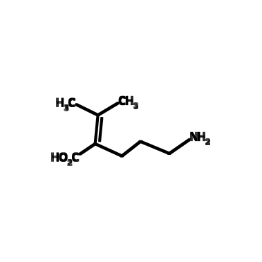 CC(C)=C(CCCN)C(=O)O